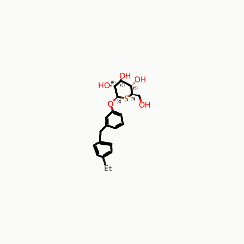 CCc1ccc(Cc2cccc(O[C@@H]3S[C@H](CO)[C@@H](O)[C@H](O)[C@H]3O)c2)cc1